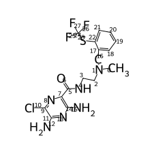 CN(CCNC(=O)c1nc(Cl)c(N)nc1N)Cc1ccccc1SC(F)(F)F